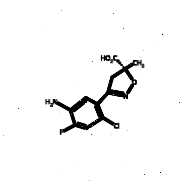 C[C@]1(C(=O)O)CC(c2cc(N)c(F)cc2Cl)=NO1